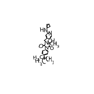 CC(C)(C)c1ccc(N2C(=O)N(Cc3ccnc(NC45CC(C4)C5)c3)C(C)(C)C2=O)cc1